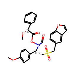 COc1ccc([C@@H](CS(=O)(=O)Cc2ccc3occc3c2)N(C=O)OC(=O)[C@H](OC)c2ccccc2)cc1